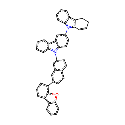 C1=Cc2c(c3ccccc3n2-c2ccc3c(c2)c2ccccc2n3-c2ccc3ccc(-c4cccc5c4oc4ccccc45)cc3c2)CC1